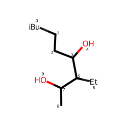 CCC(C)CCC(O)C(CC)C(C)O